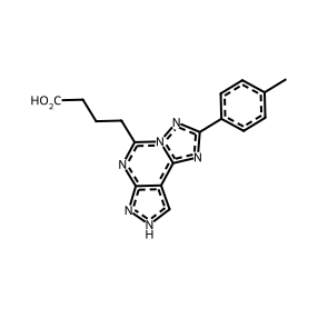 Cc1ccc(-c2nc3c4c[nH]nc4nc(CCCC(=O)O)n3n2)cc1